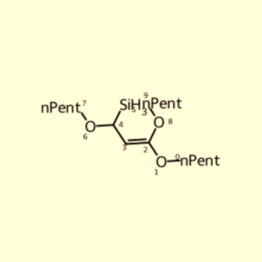 CCCCCOC(=CC([SiH3])OCCCCC)OCCCCC